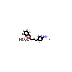 Nc1ccc(CCCC(Cc2ccccc2O)C(=O)O)cc1